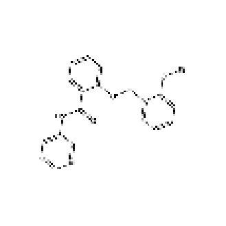 CCOc1ccccc1COc1ccccc1C(=O)Nc1cccnc1